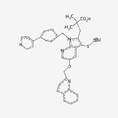 CC(C)(C)Sc1c(CC(C)(C)C(=O)O)n(Cc2ccc(-c3ccncc3)cc2)c2ncc(OCc3ccc4ccccc4n3)cc12